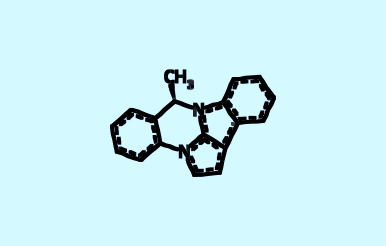 C[C@@H]1c2ccccc2-n2ccc3c4ccccc4n1c32